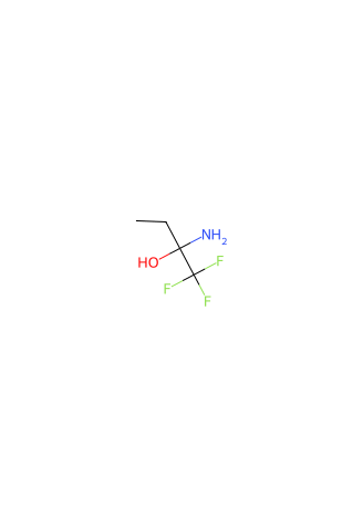 CCC(N)(O)C(F)(F)F